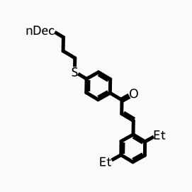 CCCCCCCCCCCCCSc1ccc(C(=O)/C=C/c2cc(CC)ccc2CC)cc1